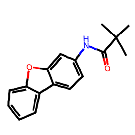 CC(C)(C)C(=O)Nc1ccc2c(c1)oc1ccccc12